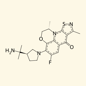 Cc1nsc2c1c(=O)c1cc(F)c(N3CC[C@@H](C(C)(C)N)C3)c3c1n2[C@@H](C)CO3